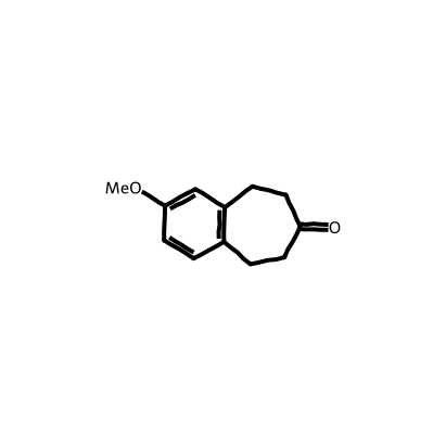 COc1ccc2c(c1)CCC(=O)CC2